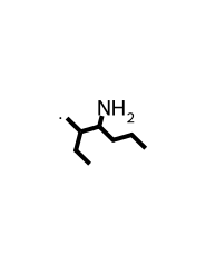 [CH2]C(CC)C(N)CCC